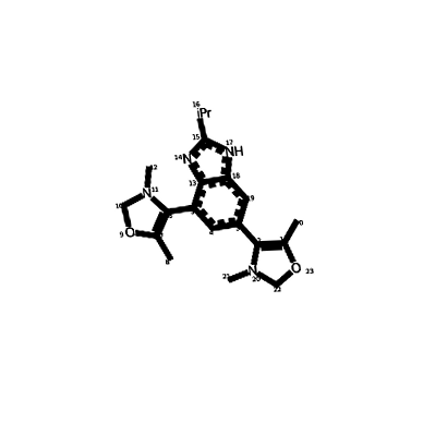 CC1=C(c2cc(C3=C(C)OCN3C)c3nc(C(C)C)[nH]c3c2)N(C)CO1